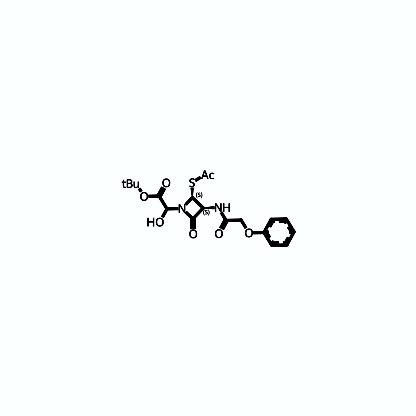 CC(=O)S[C@H]1[C@@H](NC(=O)COc2ccccc2)C(=O)N1C(O)C(=O)OC(C)(C)C